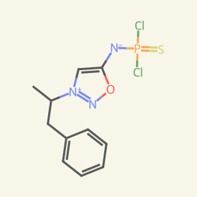 CC(Cc1ccccc1)[n+]1cc([N-]P(=S)(Cl)Cl)on1